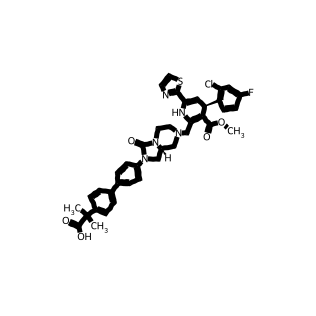 COC(=O)C1=C(CN2CCN3C(=O)N(c4ccc(-c5ccc(C(C)(C)C(=O)O)cc5)cc4)C[C@@H]3C2)NC(c2nccs2)=C[C@H]1c1ccc(F)cc1Cl